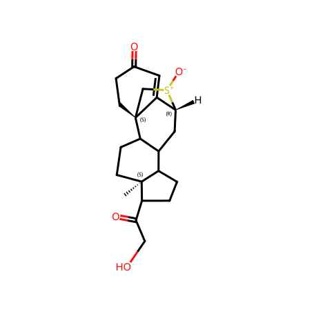 C[C@]12CCC3C(C[C@@H]4C5=CC(=O)CC[C@@]53C[S+]4[O-])C1CCC2C(=O)CO